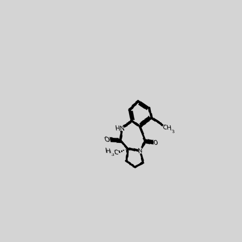 Cc1cccc2c1C(=O)N1CCC[C@@]1(C)C(=O)N2